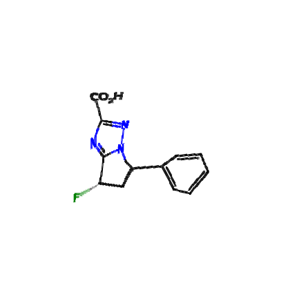 O=C(O)c1nc2n(n1)C(c1ccccc1)C[C@@H]2F